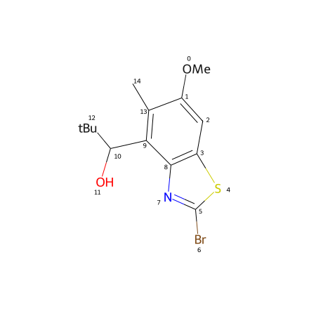 COc1cc2sc(Br)nc2c(C(O)C(C)(C)C)c1C